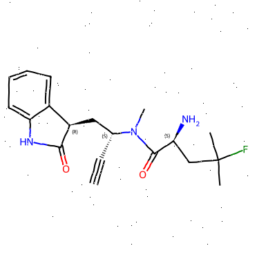 C#C[C@H](C[C@H]1C(=O)Nc2ccccc21)N(C)C(=O)[C@@H](N)CC(C)(C)F